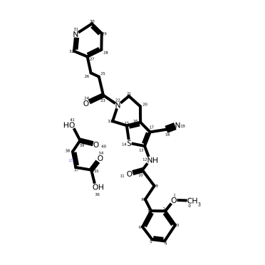 COc1ccccc1CCC(=O)Nc1sc2c(c1C#N)CCN(C(=O)CCc1cccnc1)C2.O=C(O)/C=C\C(=O)O